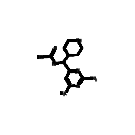 Cc1cc(C(NC(=O)O)C2CCNCC2)nc(N)n1